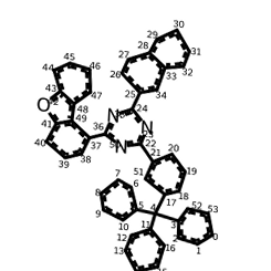 c1ccc(C(c2ccccc2)(c2ccccc2)c2cccc(-c3nc(-c4ccc5ccccc5c4)nc(-c4cccc5oc6ccccc6c45)n3)c2)cc1